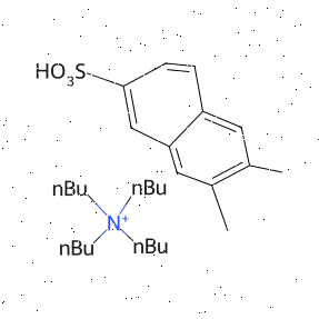 CCCC[N+](CCCC)(CCCC)CCCC.Cc1cc2ccc(S(=O)(=O)O)cc2cc1C